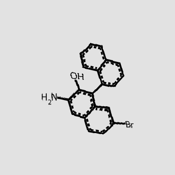 Nc1cc2ccc(Br)cc2c(-c2cccc3ccccc23)c1O